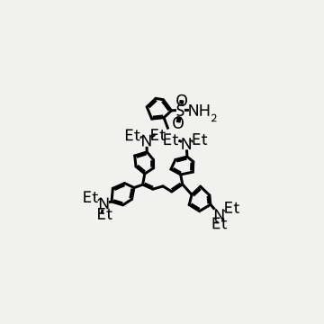 CCN(CC)c1ccc(C(=CCC=C(c2ccc(N(CC)CC)cc2)c2ccc(N(CC)CC)cc2)c2ccc(N(CC)CC)cc2)cc1.Cc1ccccc1S(N)(=O)=O